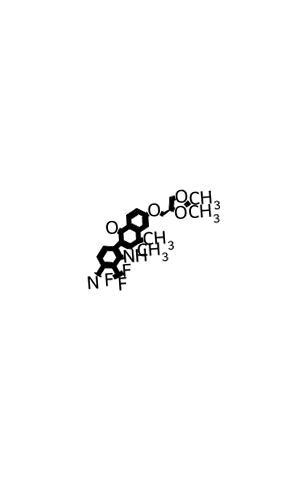 CC1(C)OC[C@H](COc2ccc3c(c2)C(C)(C)c2[nH]c4c(C(F)(F)F)c(C#N)ccc4c2C3=O)O1